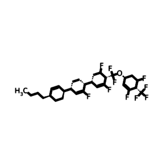 CCCC[C@H]1C=C[C@@H]([C@H]2C=C(F)[C@@H]([C@H]3C=C(F)[C@@H](C(F)(F)O[C@H]4C=C(F)[C@@H](C(F)(F)F)C(F)C4)C(F)C3)CC2)CC1